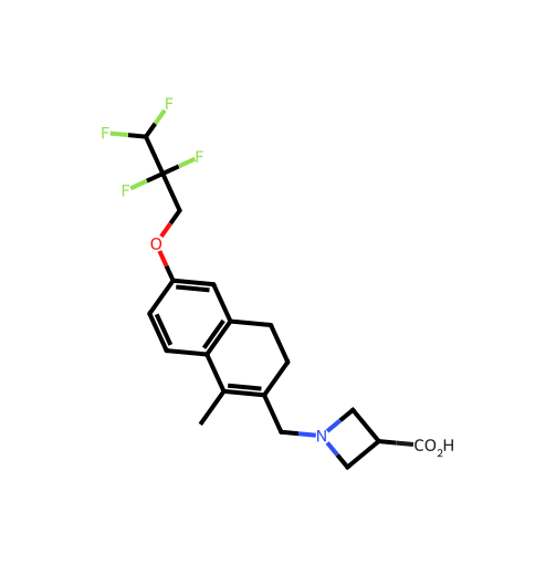 CC1=C(CN2CC(C(=O)O)C2)CCc2cc(OCC(F)(F)C(F)F)ccc21